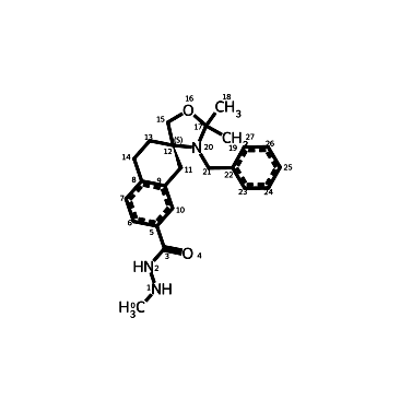 CNNC(=O)c1ccc2c(c1)C[C@@]1(CC2)COC(C)(C)N1Cc1ccccc1